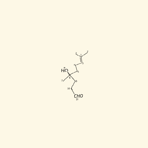 CC(C)=CCCC(C)(O)CCC=O